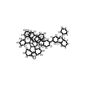 c1ccc(-n2c3ccccc3c3cc(-c4ccc5c(c4)c4ccccc4n5-c4ccc5oc6cccc7c6c5c4C45CC6c8ccccc8-c8ccccc8C68C6c9ccccc9-c9ccccc9C6(C74)C58)ccc32)cc1